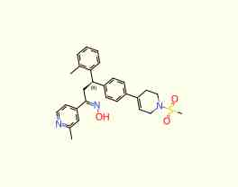 Cc1cc(C(C[C@H](c2ccc(C3=CCN(S(C)(=O)=O)CC3)cc2)c2ccccc2C)=NO)ccn1